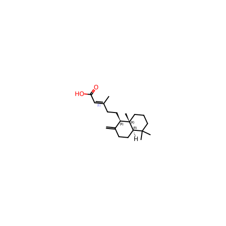 C=C1CC[C@@H]2C(C)(C)CCC[C@@]2(C)[C@@H]1CC/C(C)=C/C(=O)O